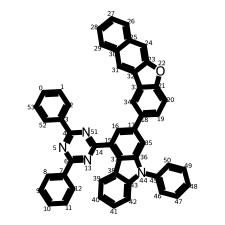 c1ccc(-c2nc(-c3ccccc3)nc(-c3cc(-c4ccc5oc6cc7ccccc7cc6c5c4)cc4c3c3ccccc3n4-c3ccccc3)n2)cc1